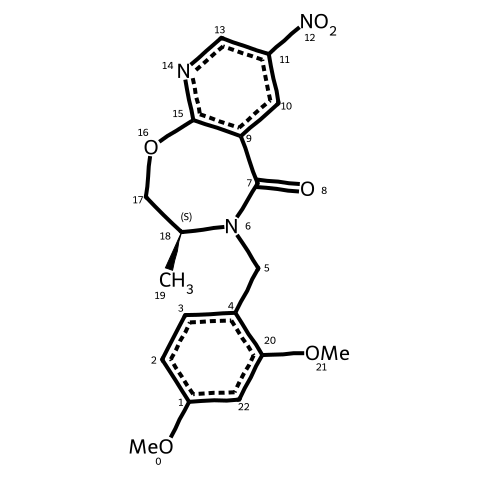 COc1ccc(CN2C(=O)c3cc([N+](=O)[O-])cnc3OC[C@@H]2C)c(OC)c1